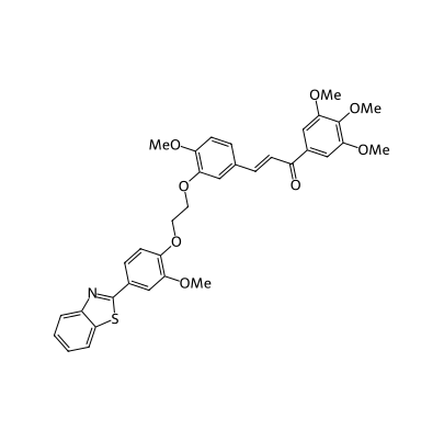 COc1cc(-c2nc3ccccc3s2)ccc1OCCOc1cc(/C=C/C(=O)c2cc(OC)c(OC)c(OC)c2)ccc1OC